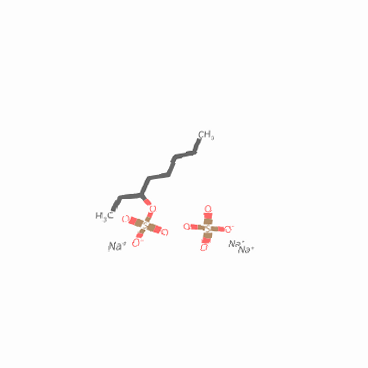 CCCCCC(CC)OS(=O)(=O)[O-].O=S(=O)([O-])[O-].[Na+].[Na+].[Na+]